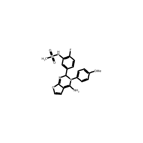 COc1ccc(N2C(N)=c3ccoc3=NC2c2ccc(F)c(NS(C)(=O)=O)c2)cc1